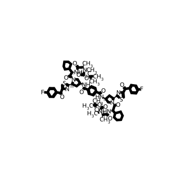 C[C@@H](C(=O)N[C@H](C(=O)N1C[C@@H](NC(=O)c2ccc(C(=O)N[C@H]3C[C@@H](c4nc(C(=O)c5ccc(F)cc5)cs4)N(C(=O)[C@@H](NC(=O)[C@H](C)N(C)C(=O)OC(C)(C)C)C4CCCCC4)C3)cc2)C[C@H]1c1nc(C(=O)c2ccc(F)cc2)cs1)C1CCCCC1)N(C)C(=O)OC(C)(C)C